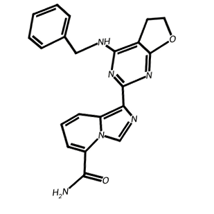 NC(=O)c1cccc2c(-c3nc(NCc4ccccc4)c4c(n3)OCC4)ncn12